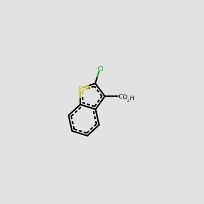 O=C(O)c1c(Cl)sc2ccccc12